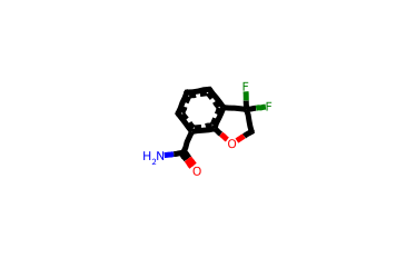 NC(=O)c1cccc2c1OCC2(F)F